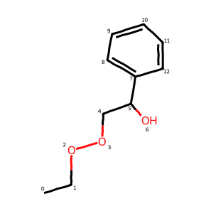 CCOOCC(O)c1ccccc1